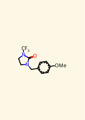 COc1ccc(CN2CCN(C(F)(F)F)C2=O)cc1